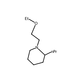 CCCC1CCCCN1CCOCC